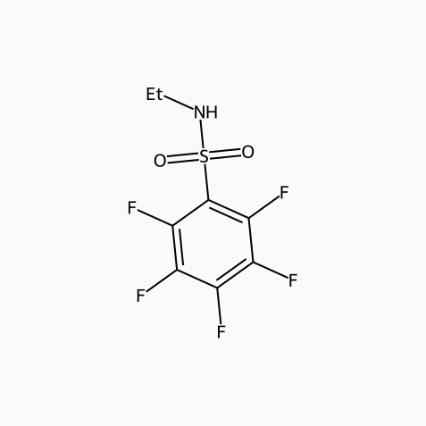 CCNS(=O)(=O)c1c(F)c(F)c(F)c(F)c1F